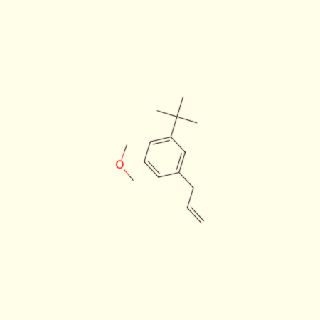 C=CCc1cccc(C(C)(C)C)c1.COC